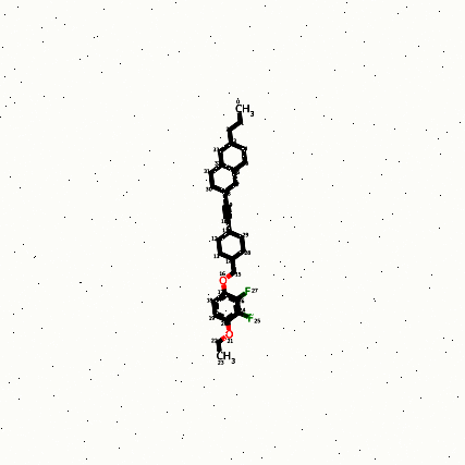 CCCC1CCC2CC(C#CC3CCC(COc4ccc(OCC)c(F)c4F)CC3)CCC2C1